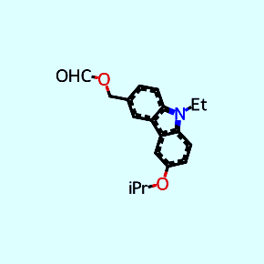 CCn1c2ccc(COC=O)cc2c2cc(OC(C)C)ccc21